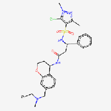 Cc1nn(C)c(Cl)c1S(=O)(=O)NC(CC(=O)NC1CCOc2cc(CN(C)CC(C)C)ccc21)c1ccccc1